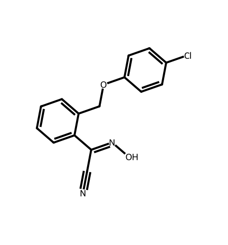 N#CC(=NO)c1ccccc1COc1ccc(Cl)cc1